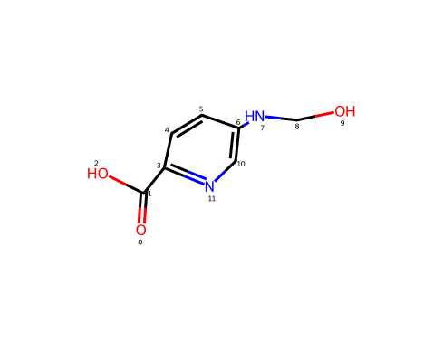 O=C(O)c1ccc(NCO)cn1